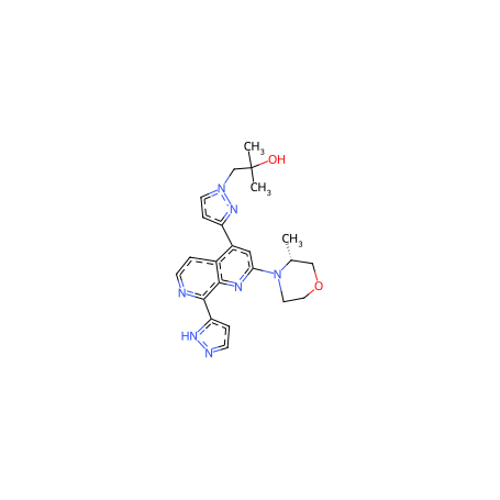 C[C@@H]1COCCN1c1cc(-c2ccn(CC(C)(C)O)n2)c2ccnc(-c3ccn[nH]3)c2n1